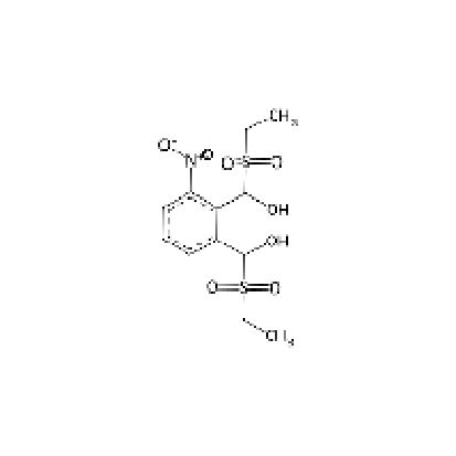 CCS(=O)(=O)C(O)c1cccc([N+](=O)[O-])c1C(O)S(=O)(=O)CC